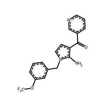 Nc1c(C(=O)c2cccnc2)ccn1Cc1cccc(OC(F)(F)F)c1